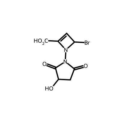 O=C(O)C1=CC(Br)N1N1C(=O)CC(O)C1=O